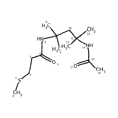 CSCCC(=O)NC(C)(C)CC(C)(C)NC(C)=O